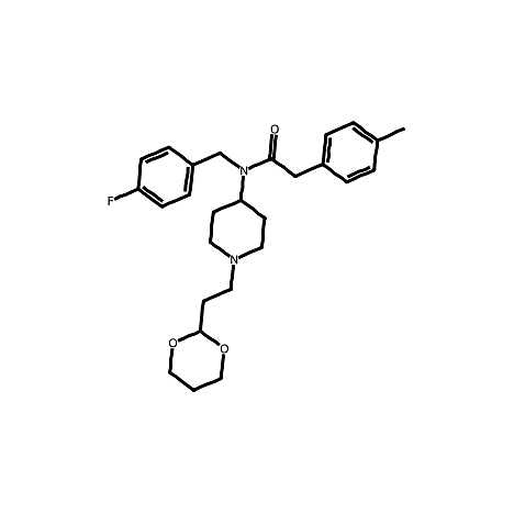 Cc1ccc(CC(=O)N(Cc2ccc(F)cc2)C2CCN(CCC3OCCCO3)CC2)cc1